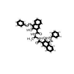 CC(NC(=O)c1cc2ccccc2c(N=Nc2ccccc2)c1O)NC(=O)c1cc2ccccc2c(N=Nc2ccccc2)c1O